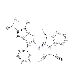 CC(C)c1nc2c(cc(/C=C3\C(=O)c4ccccc4C3=C(C#N)C#N)n2-c2ccccc2)n1C